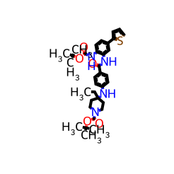 CCC1(Nc2ccc(C(=O)Nc3cc(-c4cccs4)ccc3NC(=O)OC(C)(C)C)cc2)CCN(C(=O)OC(C)(C)C)CC1